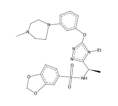 CCn1c(Oc2cccc(N3CCN(C)CC3)c2)nnc1[C@@H](C)NS(=O)(=O)c1ccc2c(c1)OCO2